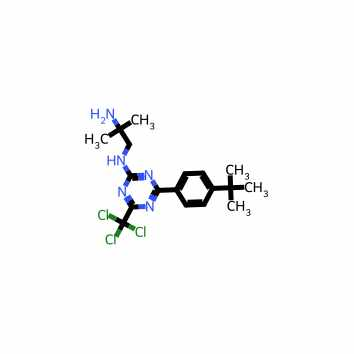 CC(C)(N)CNc1nc(-c2ccc(C(C)(C)C)cc2)nc(C(Cl)(Cl)Cl)n1